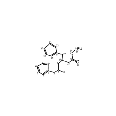 CC(Cc1ccccc1)CC(CC(=O)OC(C)(C)C)Cc1ccccc1